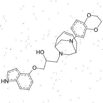 OC(COc1cccc2[nH]ccc12)CN1CC2CC=CCC1CN2c1ccc2c(c1)OCCO2